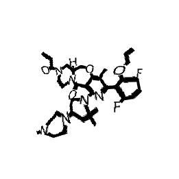 C=CCOc1c(F)ccc(F)c1-c1nc(N2CC(N3CCN(C)CC3)CC2(C)C)c2c(c1C)OC[C@H]1CN(C(=O)C=C)CCN1C2=O